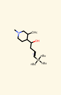 CCC[CH2][Sn](/[CH]=C/CC(O)C1CCN(C)CC1OC(C)=O)([CH2]CCC)[CH2]CCC